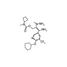 CN(N)/C(COC(=O)N(C)C1CCC1)=C(\N)c1cnc(OC2CCCCC2)c(C(F)(F)F)c1